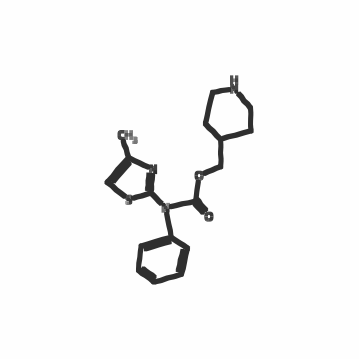 Cc1csc(N(C(=O)OCC2CCNCC2)c2ccccc2)n1